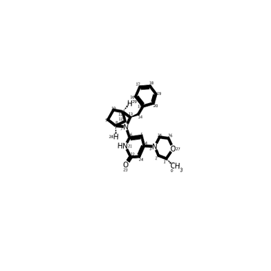 C[C@@H]1CN(c2cc(N3[C@H]4CC[C@H](C4)[C@H]3Cc3ccccc3)[nH]c(=O)c2)CCO1